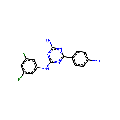 Nc1ccc(-c2nc(N)nc(Nc3cc(F)cc(F)c3)n2)cc1